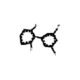 Fc1[c]c(I)cc(-c2c(F)cccc2F)c1